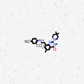 Cc1cc(CCNc2ccc(C#N)cc2C(=O)O)c2nc(N3CCC(C)(C)CC3)n(C)c(=O)c2c1